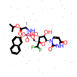 CC(C)OC(=O)[C@H](C)NP(=O)(OC[C@@]1(C(F)F)O[C@@H](n2ccc(=O)[nH]c2=O)[C@H](O)[C@H]1O)Oc1ccc2ccccc2c1